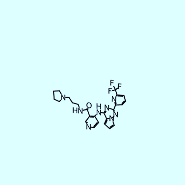 O=C(NCCCN1CCCC1)c1cnccc1Nc1nc(-c2cccc(C(F)(F)F)n2)nn2cccc12